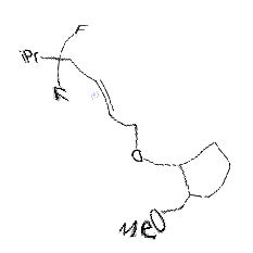 COC1CCCC1OC/C=C/C(F)(F)C(C)C